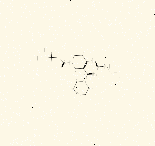 CC(C)(C)OC(=O)N1CCc2nc(NN)nc(N3CCOCC3)c2C1